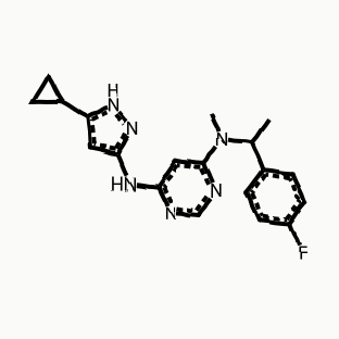 CC(c1ccc(F)cc1)N(C)c1cc(Nc2cc(C3CC3)[nH]n2)ncn1